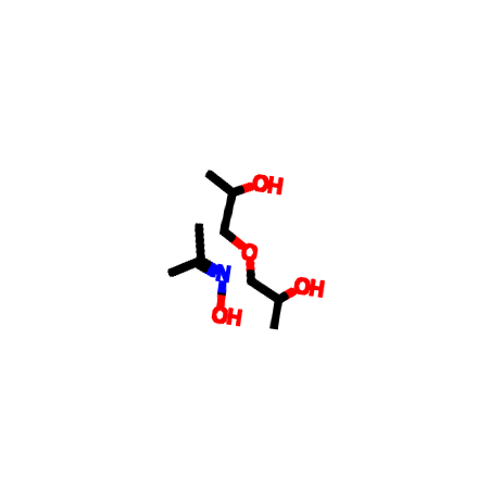 CC(C)=NO.CC(O)COCC(C)O